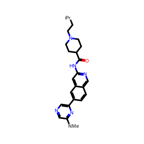 CNc1cncc(-c2ccc3cnc(NC(=O)C4CCN(CCC(C)C)CC4)cc3c2)n1